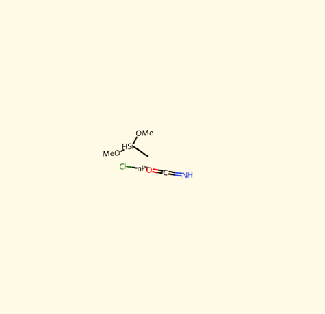 CCCCl.CO[SiH](C)OC.N=C=O